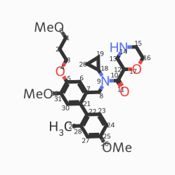 COCCCOc1cc(CN(C(=O)C2CNCCO2)C2CC2)c(-c2ccc(OC)cc2C)cc1OC